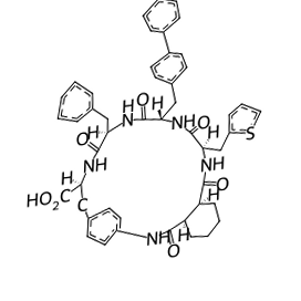 O=C(O)[C@@H]1Cc2ccc(cc2)NC(=O)[C@@H]2CCCC[C@@H]2C(=O)N[C@H](Cc2cccs2)C(=O)N[C@@H](Cc2ccc(-c3ccccc3)cc2)C(=O)N[C@H](Cc2ccccc2)C(=O)N1